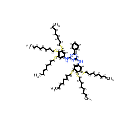 CCCCCCCCSc1cc(Nc2nc(Nc3cc(SCCCCCCCC)c(SCCCCCCCC)c(SCCCCCCCC)c3)nc(-c3cc[c]cc3)n2)cc(SCCCCCCCC)c1SCCCCCCCC